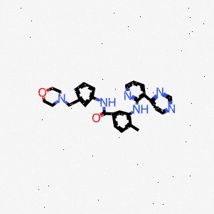 Cc1ccc(C(=O)Nc2cccc(CN3CCOCC3)c2)cc1Nc1ncccc1-c1ccncn1